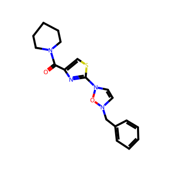 O=C(c1csc(N2C=CN(Cc3ccccc3)O2)n1)N1CCCCC1